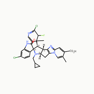 Cc1cn2c3c(nc2cc1C(=O)O)[C@H]1[C@H](C2(C)C=CN=C(Cl)C2F)[C@]2(C(=O)Nc4cc(Cl)ccc42)N(CC2CC2)[C@H]1C3